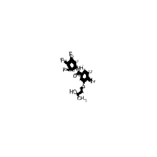 CC(O)CCSc1cc(C(=O)Nc2cc(F)c(F)c(F)c2)ccc1I